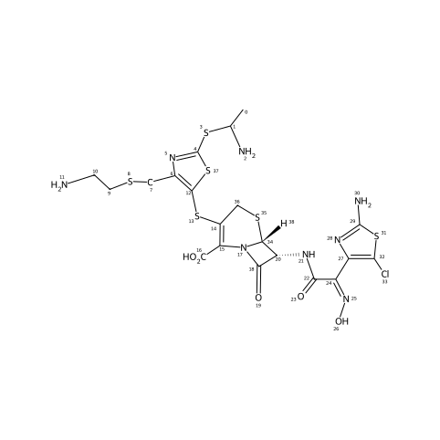 CC(N)Sc1nc(CSCCN)c(SC2=C(C(=O)O)N3C(=O)[C@@H](NC(=O)/C(=N\O)c4nc(N)sc4Cl)[C@H]3SC2)s1